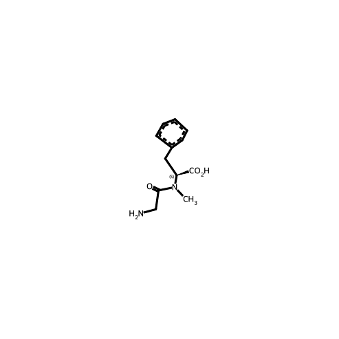 CN(C(=O)CN)[C@@H](Cc1ccccc1)C(=O)O